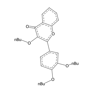 CCCCOc1ccc(-c2oc3ccccc3c(=O)c2OCCCC)cc1OCCCC